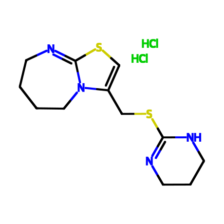 C1=C(CSC2=NCCCN2)N2CCCCN=C2S1.Cl.Cl